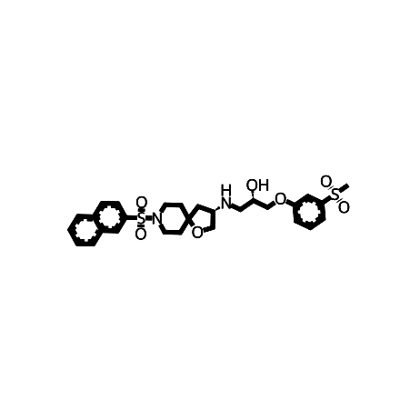 CS(=O)(=O)c1cccc(OC[C@@H](O)CN[C@@H]2COC3(CCN(S(=O)(=O)c4ccc5ccccc5c4)CC3)C2)c1